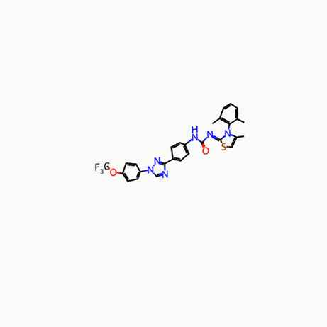 Cc1cccc(C)c1-n1c(C)cs/c1=N\C(=O)Nc1ccc(-c2ncn(-c3ccc(OC(F)(F)F)cc3)n2)cc1